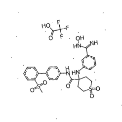 CS(=O)(=O)c1ccccc1-c1ccc(NC(=O)C2(Nc3cccc(C(=N)NO)c3)CCS(=O)(=O)CC2)cc1.O=C(O)C(F)(F)F